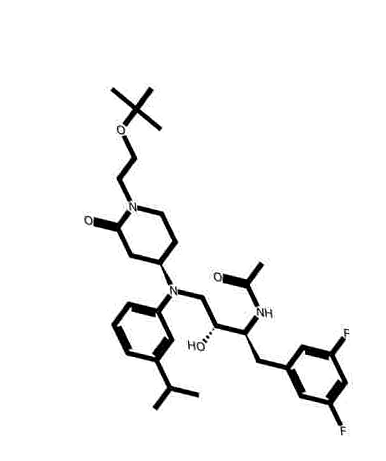 CC(=O)N[C@@H](Cc1cc(F)cc(F)c1)[C@H](O)CN(c1cccc(C(C)C)c1)[C@@H]1CCN(CCOC(C)(C)C)C(=O)C1